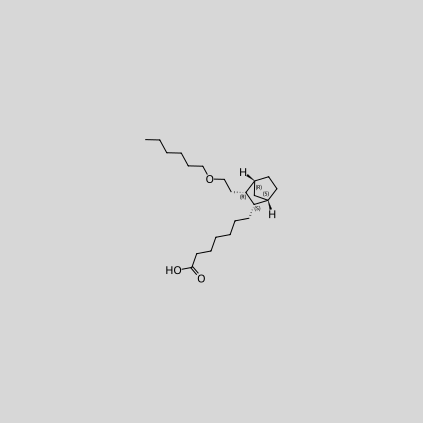 CCCCCCOCC[C@@H]1[C@@H]2CC[C@@H](C2)[C@@H]1CCCCCCC(=O)O